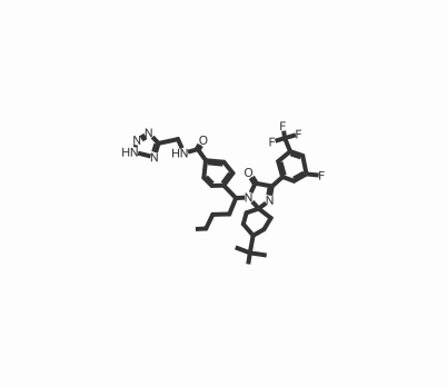 CCCCC(c1ccc(C(=O)NCc2nn[nH]n2)cc1)N1C(=O)C(c2cc(F)cc(C(F)(F)F)c2)=NC12CCC(C(C)(C)C)CC2